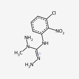 CN(N)/C(=N\N)Nc1cccc(Cl)c1[N+](=O)[O-]